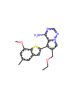 CCOCc1[c]n2ncnc(N)c2c1-c1cc2cc(C)cc(OC)c2s1